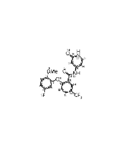 COc1ccc(F)cc1Oc1ccc(C(F)(F)F)cc1C(=O)Nc1cc[nH]c(=O)c1